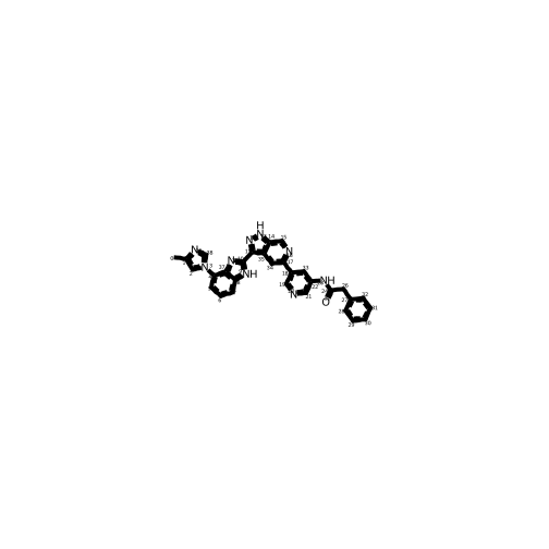 Cc1cn(-c2cccc3[nH]c(-c4n[nH]c5cnc(-c6cncc(NC(=O)Cc7ccccc7)c6)cc45)nc23)cn1